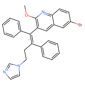 COc1nc2ccc(Br)cc2cc1/C(=C(/CCn1ccnc1)c1ccccc1)c1ccccc1